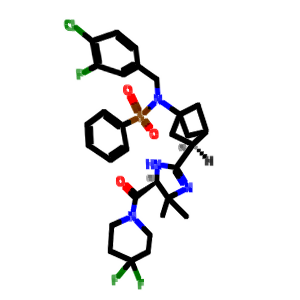 CC1(C)N=C([C@H]2CC3(N(Cc4ccc(Cl)c(F)c4)S(=O)(=O)c4ccccc4)CC2C3)N[C@@H]1C(=O)N1CCC(F)(F)CC1